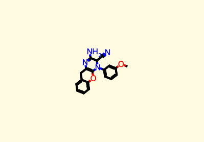 COc1cccc(N2C3=C(Cc4ccccc4O3)N=C(N)C2C#N)c1